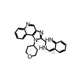 N=C1C=CC=C/C1=C/NCc1nc2cnc3ccccc3c2n1C1CCOCC1